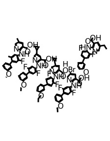 CCOc1cccc(-c2cc(F)c(Nc3ncc(Br)cc3C(=O)O)cc2F)c1.CCOc1cccc(-c2cc(F)c(Nc3ncc(C4CC4)cc3C(=O)O)c(F)c2)c1.CCOc1cccc(-c2cc(F)c(Nc3ncc(C4CC4)cc3C(=O)O)cc2F)c1.CCc1cnc(Nc2c(F)cc(-c3cccc(OC)c3)cc2F)c(C(=O)O)c1.COc1cccc(-c2cc(F)c(Nc3ncc(C)cc3C(=O)O)cc2C)c1